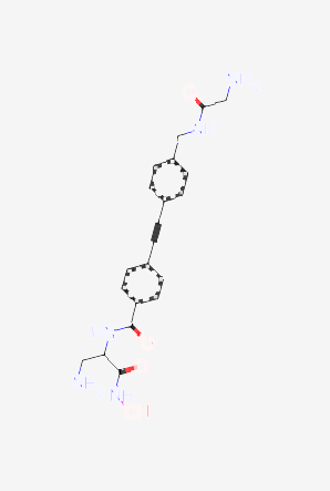 NCC(=O)NCc1ccc(C#Cc2ccc(C(=O)NC(CN)C(=O)NO)cc2)cc1